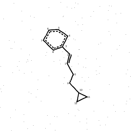 [CH](C=Cc1ccccc1)CC1CC1